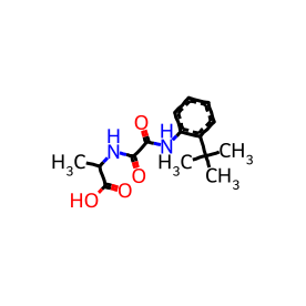 CC(NC(=O)C(=O)Nc1ccccc1C(C)(C)C)C(=O)O